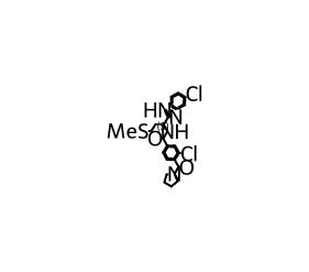 CSCC[C@H](NC(=O)c1ccc(C(=O)N2CCCC2)c(Cl)c1)c1nc2cc(Cl)ccc2[nH]1